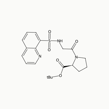 CC(C)(C)OC(=O)[C@@H]1CCCN1C(=O)CNS(=O)(=O)c1cccc2cccnc12